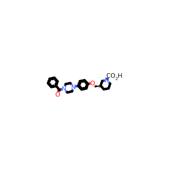 O=C(O)N1CCC[C@@H](COc2ccc(N3CCN(C(=O)c4ccccc4)CC3)cc2)C1